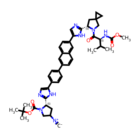 [C-]#[N+]C1C[C@@H](c2ncc(-c3ccc(-c4ccc5cc(-c6cnc([C@@H]7CC8(CC8)CN7C(=O)[C@@H](NC(=O)OC)C(C)C)[nH]6)ccc5c4)cc3)[nH]2)N(C(=O)OC(C)(C)C)C1